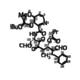 COc1ccnc(C(=O)N[C@@H](CC=O)C(=O)C(=O)[C@@H](C)[C@H](OC(=O)C(C)C)[C@H](C=O)Cc2ccccc2)c1OC(=O)OCC(C)C